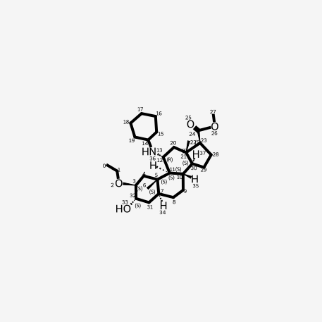 CCO[C@H]1C[C@@]2(C)[C@@H](CC[C@@H]3[C@@H]2[C@H](NC2CCCCC2)C[C@]2(C)[C@@H](C(=O)OC)CC[C@@H]32)C[C@@H]1O